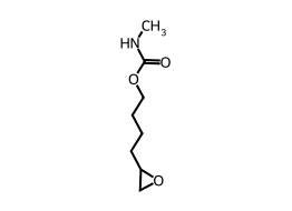 CNC(=O)OCCCCC1CO1